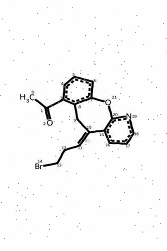 CC(=O)c1cccc2c1C/C(=C\CCBr)c1cccnc1O2